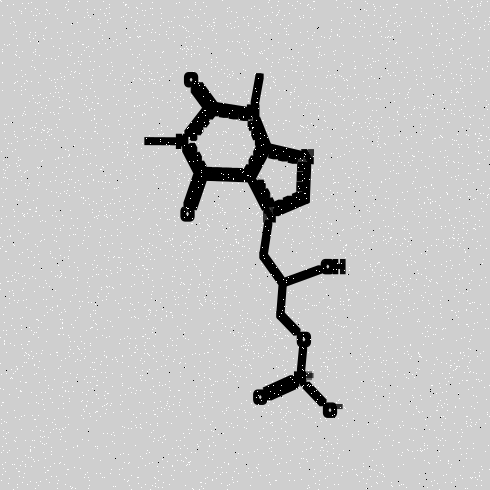 Cn1c(=O)c2c(ncn2CC(O)CO[N+](=O)[O-])n(C)c1=O